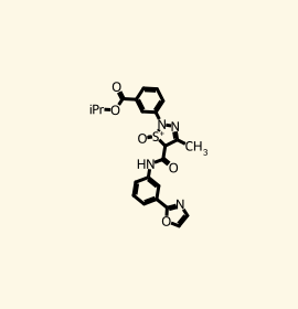 CC1=NN(c2cccc(C(=O)OC(C)C)c2)[S+]([O-])C1C(=O)Nc1cccc(-c2ncco2)c1